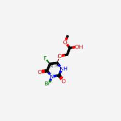 COC(O)CO[C@@H]1NC(=O)N(Br)C(=O)[C@H]1F